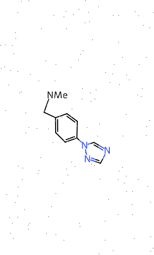 CNCc1ccc(-n2cncn2)cc1